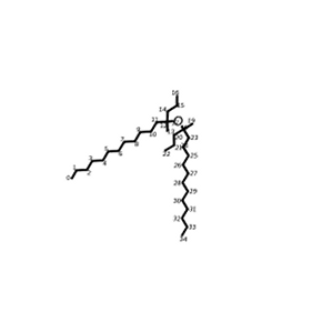 CCCCCCCCCCCCC(C)(CCC)OC(C)(CCC)CCCCCCCCCCCC